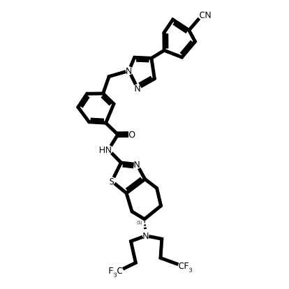 N#Cc1ccc(-c2cnn(Cc3cccc(C(=O)Nc4nc5c(s4)C[C@@H](N(CCC(F)(F)F)CCC(F)(F)F)CC5)c3)c2)cc1